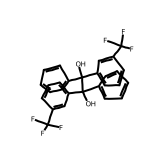 OC(c1ccccc1)(c1cccc(C(F)(F)F)c1)C(O)(c1ccccc1)c1cccc(C(F)(F)F)c1